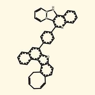 C1=CN2Nc3c(c(-c4ccc(-c5cc6ccccc6c6c5oc5ccc7c(c56)C/C=C\C/C=C\7)cc4)nc4ccccc34)N2C=C1